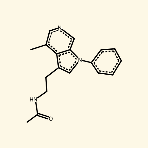 CC(=O)NCCc1cn(-c2ccccc2)c2cncc(C)c12